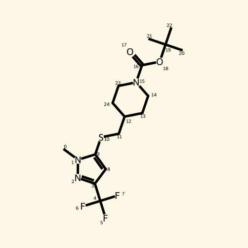 Cn1nc(C(F)(F)F)cc1SCC1CCN(C(=O)OC(C)(C)C)CC1